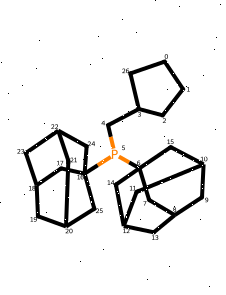 C1CCC(CP(C23CC4CC(CC(C4)C2)C3)C23CC4CC(CC(C4)C2)C3)C1